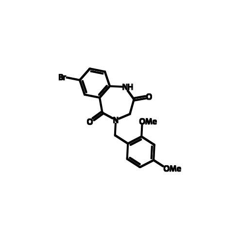 COc1ccc(CN2CC(=O)Nc3ccc(Br)cc3C2=O)c(OC)c1